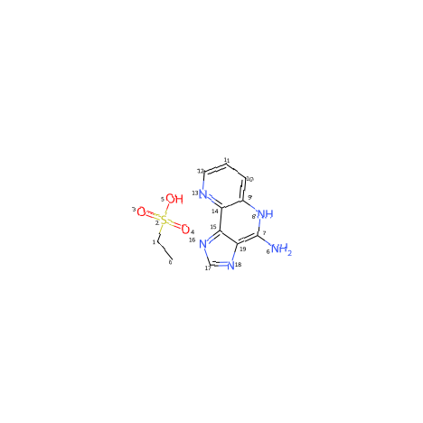 CCS(=O)(=O)O.Nc1[nH]c2cccnc2c2ncnc1-2